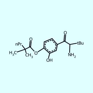 CCCC(C)(C)C(=O)Oc1ccc(C(=O)C(N)C(C)(C)C)cc1O